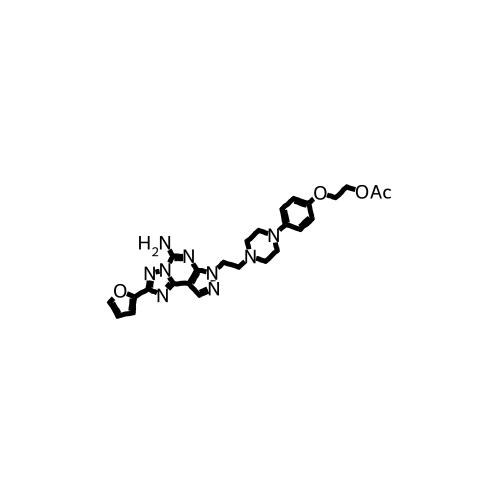 CC(=O)OCCOc1ccc(N2CCN(CCn3ncc4c3nc(N)n3nc(-c5ccco5)nc43)CC2)cc1